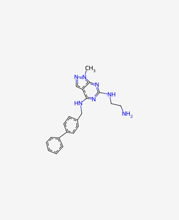 Cn1ncc2c(NCc3ccc(-c4ccccc4)cc3)nc(NCCN)nc21